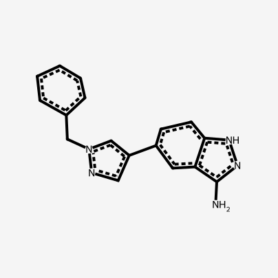 Nc1n[nH]c2ccc(-c3cnn(Cc4ccccc4)c3)cc12